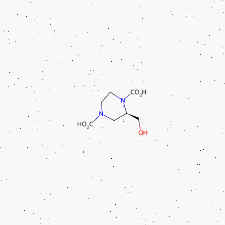 O=C(O)N1CCN(C(=O)O)[C@@H](CO)C1